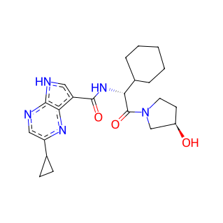 O=C(N[C@@H](C(=O)N1CC[C@@H](O)C1)C1CCCCC1)c1c[nH]c2ncc(C3CC3)nc12